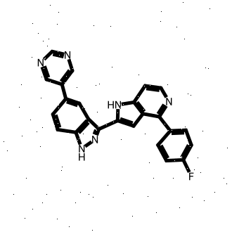 Fc1ccc(-c2nccc3[nH]c(-c4n[nH]c5ccc(-c6cncnc6)cc45)cc23)cc1